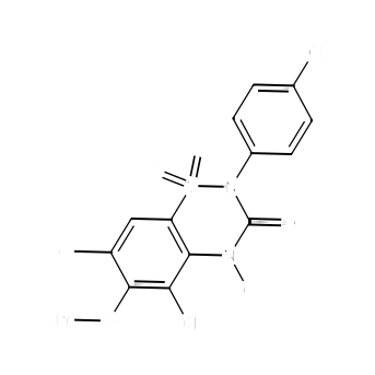 CC(C)Oc1c(Cl)cc2c(c1Cl)N(C)C(=O)N(c1ccc(Cl)cc1)S2(=O)=O